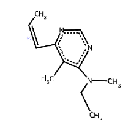 C/C=C\c1ncnc(N(C)CC)c1C